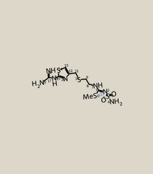 CS/C(=N\S(N)(=O)=O)NCCSCc1csc(NC(=N)N)n1